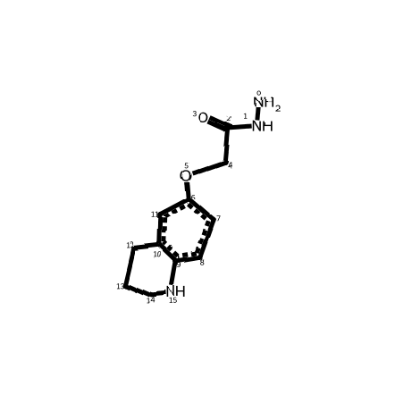 NNC(=O)COc1ccc2c(c1)CCCN2